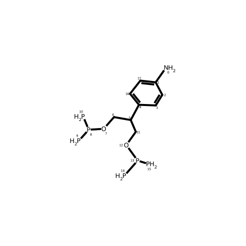 Nc1ccc(C(COP(P)P)COP(P)P)cc1